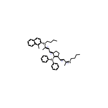 CCCC/N=C(C)\C=C\C1=C(N(c2ccccc2)c2ccccc2)C(=C/C=C(\C)N(CCCC)c2ccc3ccccc3c2C)/CC1